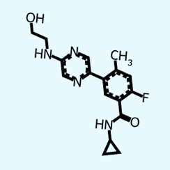 Cc1cc(F)c(C(=O)NC2CC2)cc1-c1cnc(NCCO)cn1